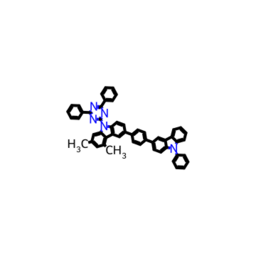 Cc1cc(C)c2c3cc(-c4ccc(-c5ccc6c(c5)c5ccccc5n6-c5ccccc5)cc4)ccc3n(-c3nc(-c4ccccc4)nc(-c4ccccc4)n3)c2c1